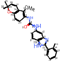 COc1c(NC(=O)Nc2ccc3[nH]c(-c4ccccc4C)nc3c2)ccc2c1C=CC(C)(C)O2